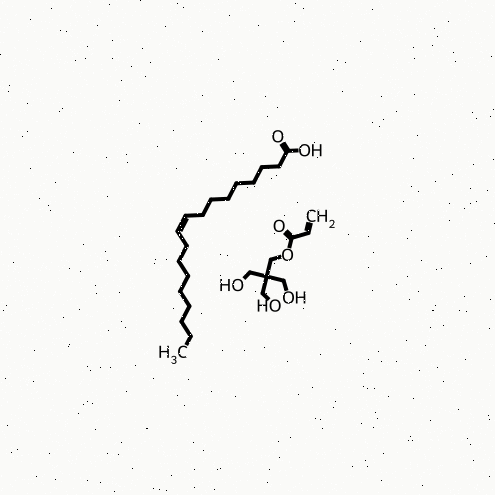 C=CC(=O)OCC(CO)(CO)CO.CCCCCCCC/C=C\CCCCCCCC(=O)O